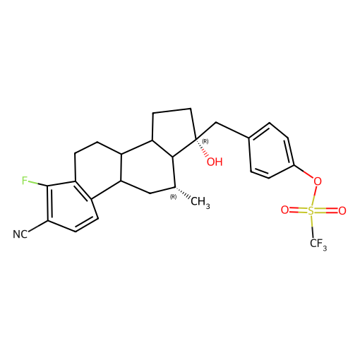 C[C@@H]1CC2c3ccc(C#N)c(F)c3CCC2C2CC[C@@](O)(Cc3ccc(OS(=O)(=O)C(F)(F)F)cc3)C21